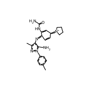 Cc1ccc(-n2nc(C)c(N=C3C=CC(=[N+]4CCCC4)C=C3NC(N)=O)c2N)cc1